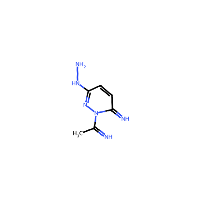 CC(=N)n1nc(NN)ccc1=N